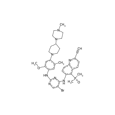 C#Cc1ccc2c(P(C)(C)=O)c(Nc3nc(Nc4cc(C)c(N5CCC(N6CCN(C)CC6)CC5)cc4OC)ncc3Br)ccc2n1